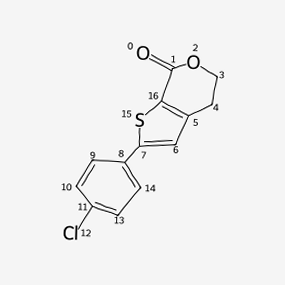 O=C1OCCc2cc(-c3ccc(Cl)cc3)sc21